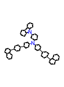 c1cc(N(c2ccc(-c3ccc(-c4cccc5ccccc45)cc3)cc2)c2ccc(-c3ccc(-c4cccc5ccccc45)cc3)cc2)cc(-n2c3ccccc3c3ccccc32)c1